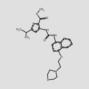 COC(=O)c1sc(C(C)C)cc1NC(=O)Nc1ccc(OCCN2CCOCC2)c2ccccc12